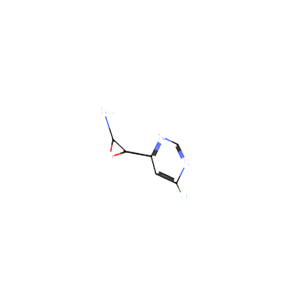 NC1OC1c1cc(Cl)ncn1